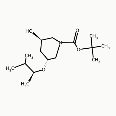 CC(C)[C@H](C)O[C@@H]1C[C@@H](O)CN(C(=O)OC(C)(C)C)C1